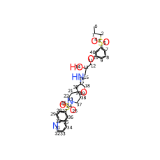 CCCS(=O)(=O)c1cccc(OCC(O)CNC2COC3(CCN(S(=O)(=O)c4ccc5ncccc5c4)CC3)C2)c1